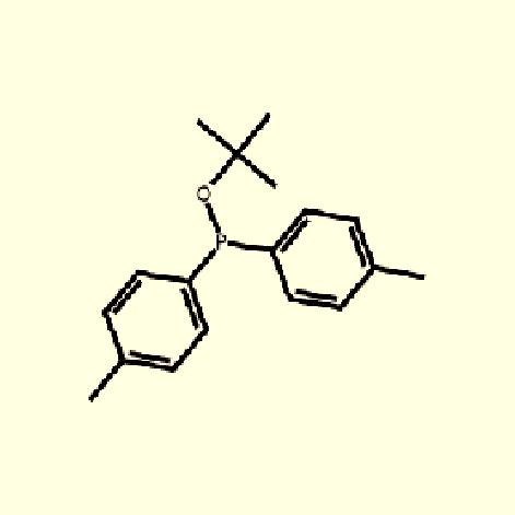 Cc1ccc(P(OC(C)(C)C)c2ccc(C)cc2)cc1